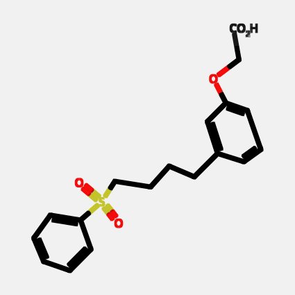 O=C(O)COc1cccc(CCCCS(=O)(=O)c2ccccc2)c1